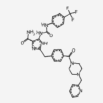 NC(=O)c1nc(Cc2ccc(C(=O)N3CCN(Cc4ccccn4)CC3)cc2)[nH]c1NC(=O)Nc1ccc(C(F)(F)F)cc1